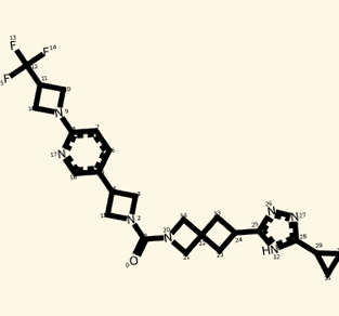 O=C(N1CC(c2ccc(N3CC(C(F)(F)F)C3)nc2)C1)N1CC2(CC(c3nnc(C4CC4)[nH]3)C2)C1